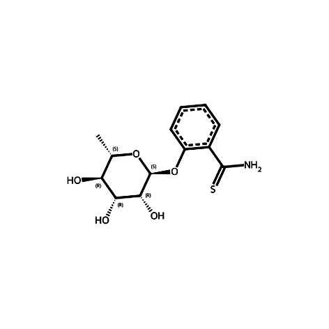 C[C@@H]1O[C@@H](Oc2ccccc2C(N)=S)[C@H](O)[C@H](O)[C@H]1O